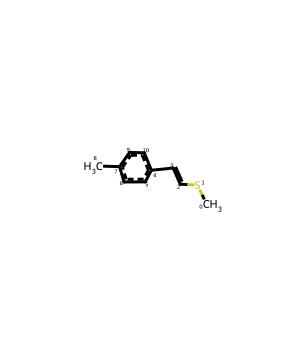 CS/C=C/c1ccc(C)cc1